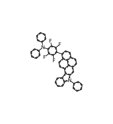 Fc1c(F)c(N(c2ccccc2)c2ccccc2)c(F)c(F)c1-c1ccc2ccc3cc4c(c5ccc1c2c35)c1ccccc1n4-c1ccccc1